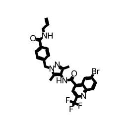 C=CCNC(=O)c1ccc(Cn2nc(C)c(NC(=O)c3cc(C(F)(F)F)nc4ccc(Br)cc34)c2C)cc1